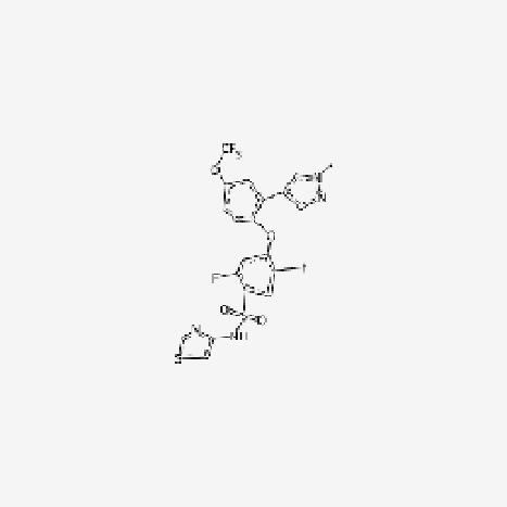 Cn1cc(-c2cc(OC(F)(F)F)ccc2Oc2cc(F)c(S(=O)(=O)Nc3cscn3)cc2F)cn1